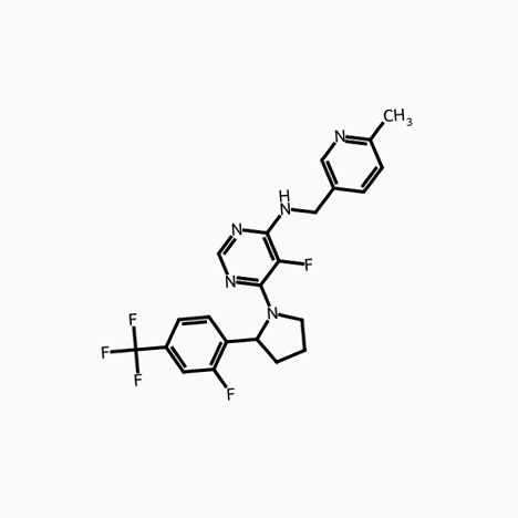 Cc1ccc(CNc2ncnc(N3CCCC3c3ccc(C(F)(F)F)cc3F)c2F)cn1